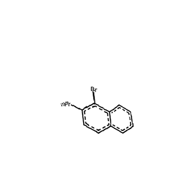 CC[CH]c1ccc2ccccc2c1Br